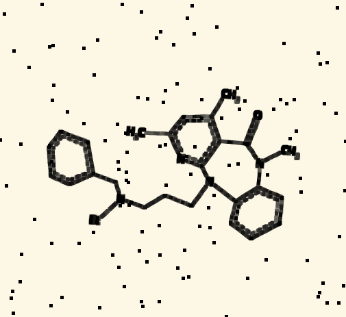 CCN(CCCN1c2ccccc2N(C)C(=O)c2c(C)cc(C)nc21)Cc1ccccc1